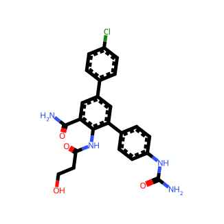 NC(=O)Nc1ccc(-c2cc(-c3ccc(Cl)cc3)cc(C(N)=O)c2NC(=O)CCO)cc1